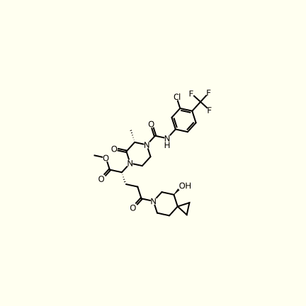 COC(=O)[C@@H](CCC(=O)N1CCC2(CC2)[C@H](O)C1)N1CCN(C(=O)Nc2ccc(C(F)(F)F)c(Cl)c2)[C@@H](C)C1=O